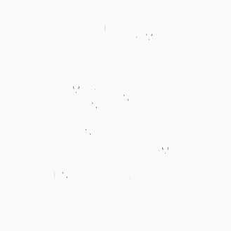 COc1cc(Nc2ncnc3cc(OC(C)C4CCNCC4)c(OC)cc23)c(OC)cc1Cl